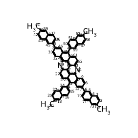 Cc1ccc2cc(-c3ccc4c(c3)c(-c3ccc5cc(C)ccc5c3)c3ccc5nc6c7ccc(-c8ccc9cc(C)ccc9c8)cc7c(-c7ccc8cc(C)ccc8c7)c7ccc8nc4c3c5c8c76)ccc2c1